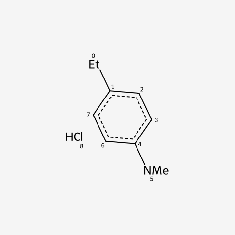 CCc1ccc(NC)cc1.Cl